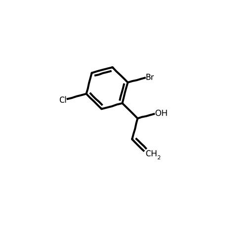 C=CC(O)c1cc(Cl)ccc1Br